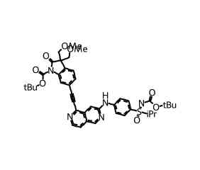 COCC1(COC)C(=O)N(C(=O)OC(C)(C)C)c2cc(C#Cc3nccc4cnc(Nc5ccc(S(=O)(=NC(=O)OC(C)(C)C)C(C)C)cc5)cc34)ccc21